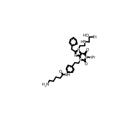 CCCn1c(=O)c2c(nc(Cc3ccccc3)n2CCNCC(O)CC)n(CCc2ccc(NC(=O)CCCCN)cc2)c1=O